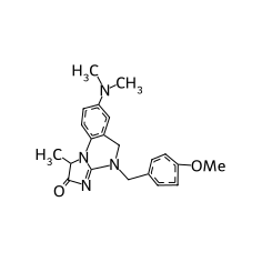 COc1ccc(CN2Cc3cc(N(C)C)ccc3N3C2=NC(=O)C3C)cc1